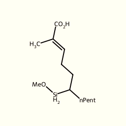 CCCCCC(CCC=C(C)C(=O)O)[SiH2]OC